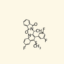 CSc1c(-c2cc(F)cc(F)c2)c(C(C)N2C(=O)c3ccccc3C2=O)nc2ccc(F)cc12